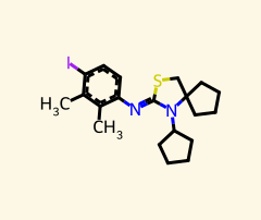 Cc1c(I)ccc(N=C2SCC3(CCCC3)N2C2CCCC2)c1C